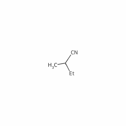 CC[C](C)C#N